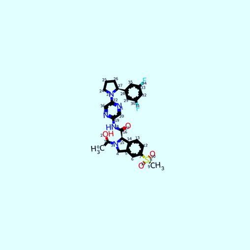 CC(O)N1Cc2cc(S(C)(=O)=O)ccc2[C@@H]1C(=O)Nc1cnc(N2CCC[C@H]2c2cc(F)cc(F)c2)cn1